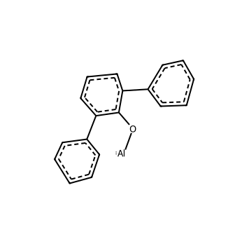 [Al][O]c1c(-c2ccccc2)cccc1-c1ccccc1